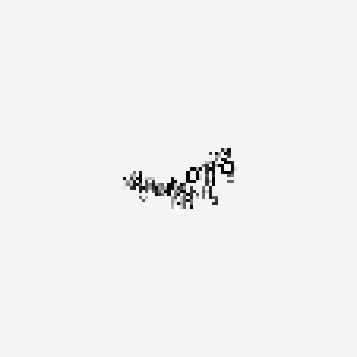 COc1ccc(F)cc1C(=O)NCc1ccc(-c2nn([C@H]3CC[C@@H](N(C)C(=O)n4cncn4)C3)c3ncnc(N)c23)cc1